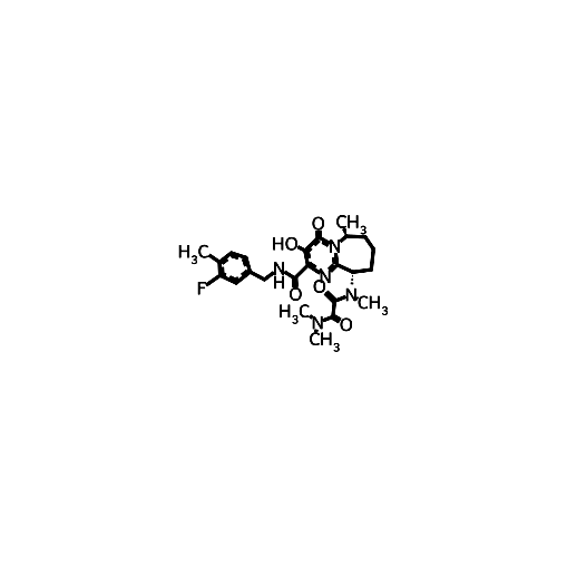 Cc1ccc(CNC(=O)c2nc3n(c(=O)c2O)[C@@H](C)CCC[C@@H]3N(C)C(=O)C(=O)N(C)C)cc1F